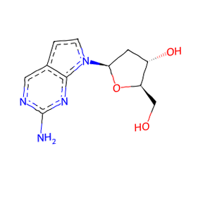 Nc1ncc2ccn([C@H]3C[C@H](O)[C@@H](CO)O3)c2n1